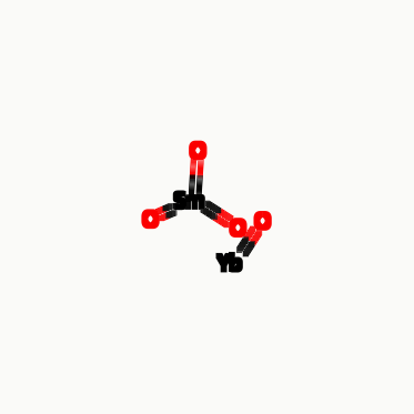 [O]=[Sm](=[O])=[O].[O]=[Yb]